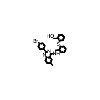 Cc1ccc2nc(-c3ccc(Br)cc3)nc(NCc3ccccc3Sc3ccccc3CO)c2c1